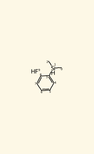 C[SiH](C)c1ccccc1.F